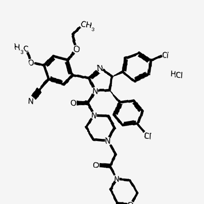 CCOc1cc(OC)c(C#N)cc1C1=N[C@@H](c2ccc(Cl)cc2)[C@@H](c2ccc(Cl)cc2)N1C(=O)N1CCN(CC(=O)N2CCOCC2)CC1.Cl